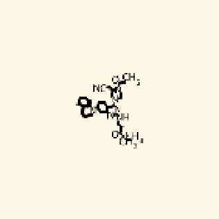 C=CC(=O)N1CCN(c2nc(NCCC(=O)N(C)C)nc3c2CCC(N2CCCc4ccccc42)C3)CC1CC#N